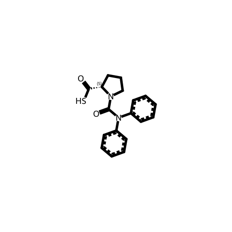 O=C(S)[C@@H]1CCCN1C(=O)N(c1ccccc1)c1ccccc1